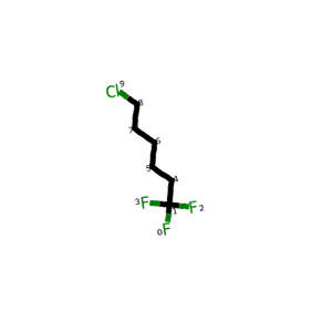 FC(F)(F)CCCCCCl